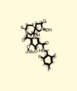 CCCCOc1c2n(cc(C(=O)NCc3c(F)cc(F)cc3F)c1=O)[C@@H]1CN(C2=O)[C@@H](C)CC[C@]12CC(=O)N(O)C2